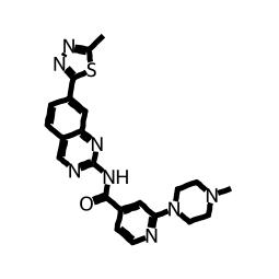 Cc1nnc(-c2ccc3cnc(NC(=O)c4ccnc(N5CCN(C)CC5)c4)nc3c2)s1